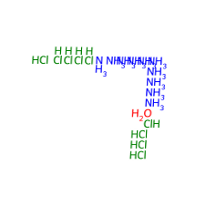 Cl.Cl.Cl.Cl.Cl.Cl.Cl.Cl.Cl.N.N.N.N.N.N.N.N.N.N.O